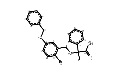 CC(OCc1cc(OCc2ccccc2)ccc1Br)(C(=O)O)c1ccccc1